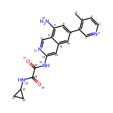 Cc1ccncc1-c1cc(N)c2cnc(NC(=O)C(=O)NC3CC3)cc2c1